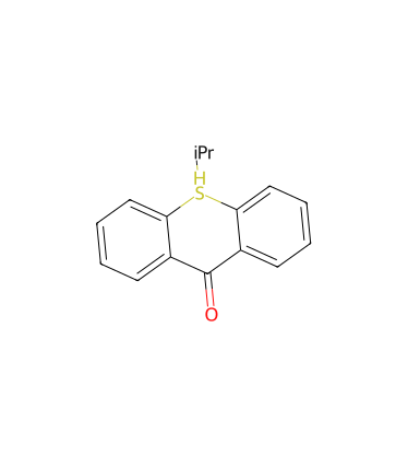 CC(C)[SH]1c2ccccc2C(=O)c2ccccc21